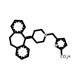 O=C(O)c1ccc(CN2CCC(=C3c4ccccc4CCc4ccccc43)CC2)s1